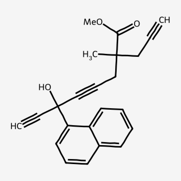 C#CCC(C)(CC#CC(O)(C#C)c1cccc2ccccc12)C(=O)OC